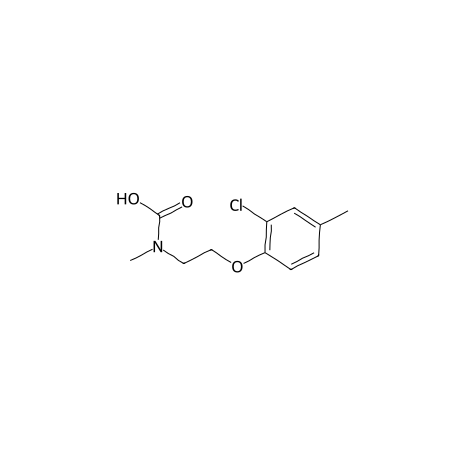 Cc1ccc(OCCN(C)C(=O)O)c(Cl)c1